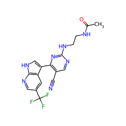 CC(=O)NCCNc1ncc(C#N)c(-c2c[nH]c3ncc(C(F)(F)F)cc23)n1